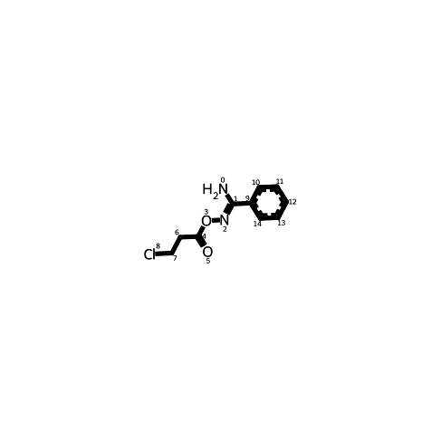 N/C(=N\OC(=O)CCCl)c1ccccc1